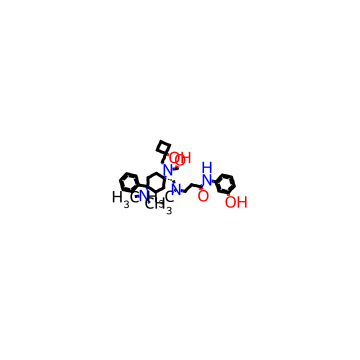 CN(CCC(=O)Nc1cccc(O)c1)C[C@]1(N(C=O)CC2(O)CCC2)CC[C@@](c2ccccc2)(N(C)C)CC1